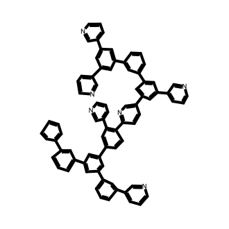 c1ccc(-c2cccc(-c3cc(-c4cccc(-c5cccnc5)c4)cc(-c4ccc(-c5ccc(-c6cc(-c7cccnc7)cc(-c7cccc(-c8cc(-c9cccnc9)cc(-c9cccnc9)c8)c7)c6)cn5)c(-c5cccnc5)c4)c3)c2)cc1